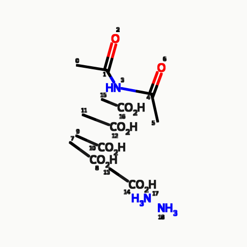 CC(=O)NC(C)=O.CC(=O)O.CC(=O)O.CC(=O)O.CC(=O)O.CC(=O)O.N.N